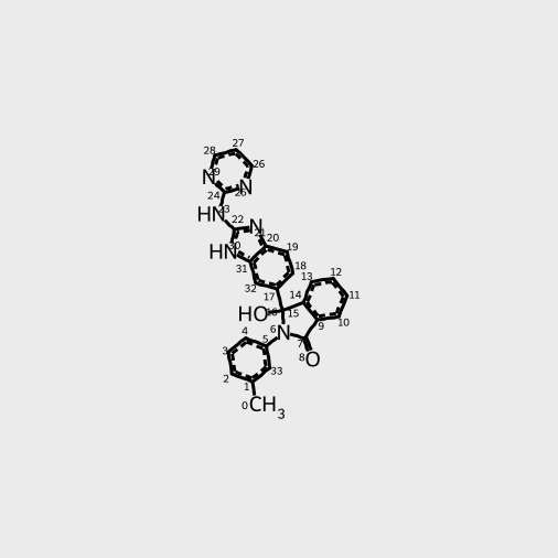 Cc1cccc(N2C(=O)c3ccccc3C2(O)c2ccc3nc(Nc4ncccn4)[nH]c3c2)c1